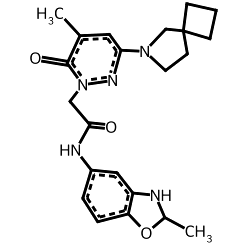 Cc1cc(N2CCC3(CCC3)C2)nn(CC(=O)Nc2ccc3c(c2)NC(C)O3)c1=O